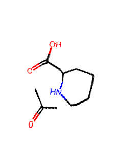 CC(C)=O.O=C(O)C1CCCCN1